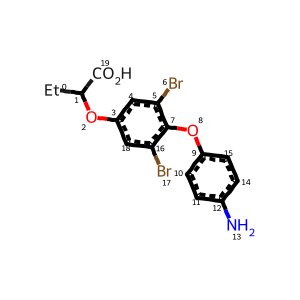 CCC(Oc1cc(Br)c(Oc2ccc(N)cc2)c(Br)c1)C(=O)O